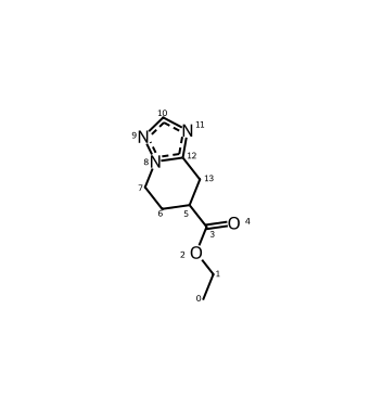 CCOC(=O)C1CCn2ncnc2C1